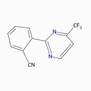 N#Cc1ccccc1-c1nccc(C(F)(F)F)n1